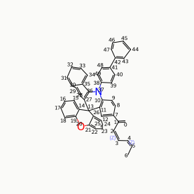 C=C(/C=C\C=C/C)c1ccc2c(c1)C1(c3ccccc3Oc3ccccc31)c1ccc3ccccc3c1N2c1ccc(-c2ccccc2)cc1